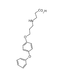 O=C(O)CCNCCCOc1ccc(Oc2ccccc2)cc1